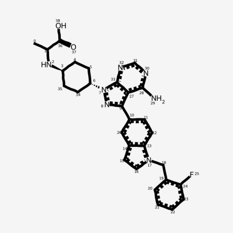 CC(N[C@H]1CC[C@H](n2nc(-c3ccc4c(ccn4Cc4ccccc4F)c3)c3c(N)ncnc32)CC1)C(=O)O